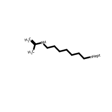 C=C(C)NCCCCCCCCCCCCCC